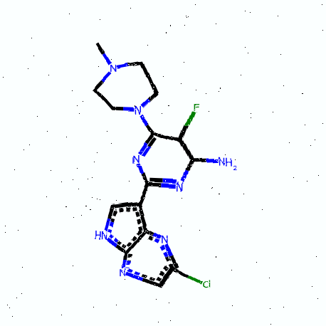 CN1CCN(C2=NC(c3c[nH]c4ncc(Cl)nc34)=NC(N)C2F)CC1